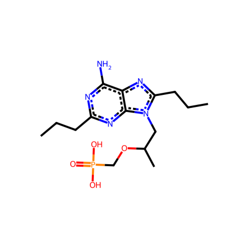 CCCc1nc(N)c2nc(CCC)n(CC(C)OCP(=O)(O)O)c2n1